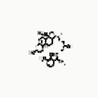 C[C@H](CCC(=O)O)[C@H]1CC[C@H]2[C@@H]3[C@H](O)CC4C[C@H](O)CC[C@]4(C)[C@H]3CC[C@]12C.NC(=O)c1cccc(N)c1O